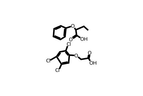 CCC(Oc1ccccc1)C(=O)O.O=C(O)COc1cc(Cl)c(Cl)cc1Cl